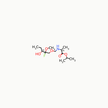 CC[C@H](O)[C@@](F)(COCN[C@@H](C)C(=O)OC(C)C)OC